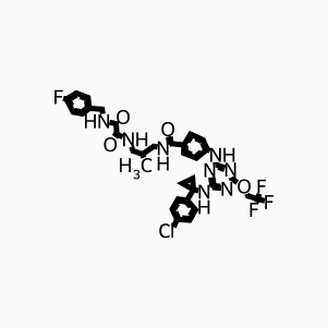 CC(CNC(=O)C(=O)NCc1ccc(F)cc1)CNC(=O)c1ccc(Nc2nc(NC3(c4ccc(Cl)cc4)CC3)nc(OCC(F)(F)F)n2)cc1